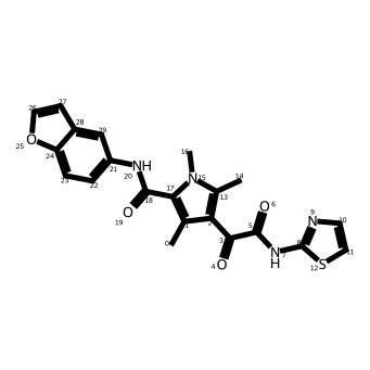 Cc1c(C(=O)C(=O)Nc2nccs2)c(C)n(C)c1C(=O)Nc1ccc2occc2c1